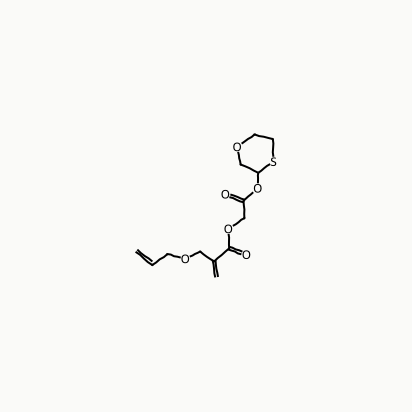 C=CCOCC(=C)C(=O)OCC(=O)OC1COCCS1